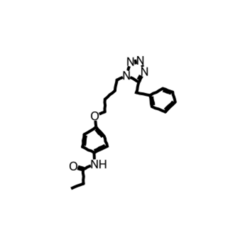 CCC(=O)Nc1ccc(OCCCCn2nnnc2Cc2ccccc2)cc1